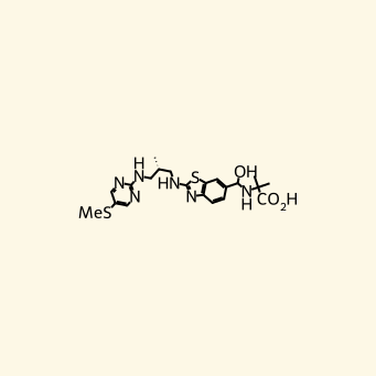 CSc1cnc(NC[C@H](C)CNc2nc3ccc(C(O)NC(C)(C)C(=O)O)cc3s2)nc1